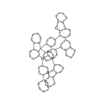 c1ccc(-c2ccc(N(c3ccc(-c4cccc5ccccc45)cc3)c3cccc4c3C(c3ccc(-c5cccc6c5oc5ccccc56)cc3)(c3ccc(-c5cccc6c5sc5ccccc56)cc3)c3ccccc3-4)cc2)cc1